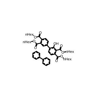 CCCCCCOC(=O)c1ccc(-c2ccc(C(=O)OCCCCCC)c(C(=O)OCCCCCC)c2O)cc1C(=O)OCCCCCC.c1ccc(-c2ccccc2)cc1